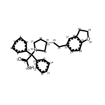 NC(=O)C(c1ccccc1)(c1ccccc1)N1CC[C@H](CCc2ccc3c(c2)CCO3)C1